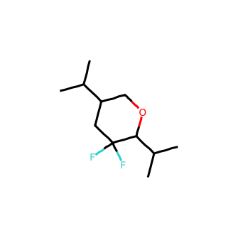 CC(C)C1COC(C(C)C)C(F)(F)C1